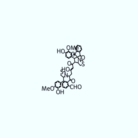 COc1ccc(CC2CSCN2C(C/C(O)=C/C(=O)C2C3CSCN3C3(C(=O)c4ccccc4C3=O)C2c2ccc(O)c(OC)c2)C(=O)c2ccccc2C=O)cc1O